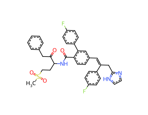 CS(=O)(=O)CCC(NC(=O)c1ccc(C=C(Cc2ncc[nH]2)c2ccc(F)cc2)cc1-c1ccc(F)cc1)C(=O)Cc1ccccc1